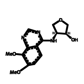 COc1ccc2c(N[C@H]3COC[C@H]3O)ncnc2c1OC